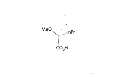 CCC[C@@H](OC)C(=O)O